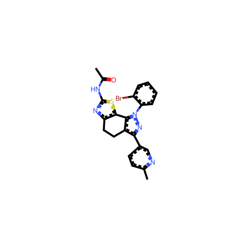 CC(=O)Nc1nc2c(s1)-c1c(c(-c3ccc(C)nc3)nn1-c1ccccc1Br)CC2